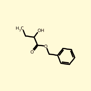 CCC(O)C(=O)OCc1ccccc1